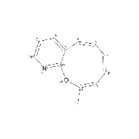 Cc1cccccc2cccnc2o1